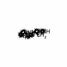 Cc1cc(Nc2cc3c(cn2)cnn3S(=O)(=O)c2cccc3cccnc23)ccc1N1CCNCC1